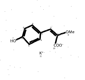 COC(=Cc1ccc(O)cc1)C(=O)[O-].[K+]